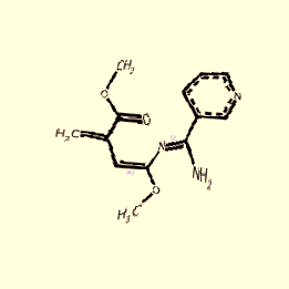 C=C(/C=C(\N=C(/N)c1cccnc1)OC)C(=O)OC